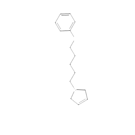 C1=CCN(CCCCCOc2ccccc2)C1